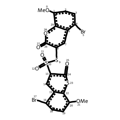 COc1ccc(Br)c2cc(SS(=O)(=O)c3cc4c(Br)ccc(OC)c4sc3=O)c(=O)oc12